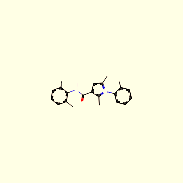 Cc1cccc(C(C)C)c1NC(=O)c1cc(C)n(-c2ccccc2C(F)(F)F)c1C